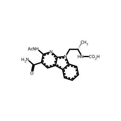 CC(=O)Nc1nc2c(cc1C(N)=O)c1ccccc1n2C[C@H](C)NC(=O)O